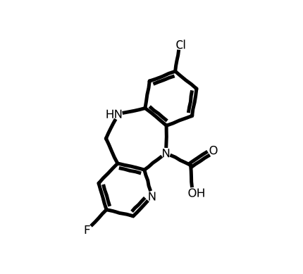 O=C(O)N1c2ccc(Cl)cc2NCc2cc(F)cnc21